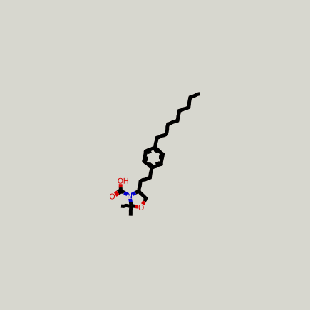 CCCCCCCCc1ccc(CCC2COC(C)(C)N2C(=O)O)cc1